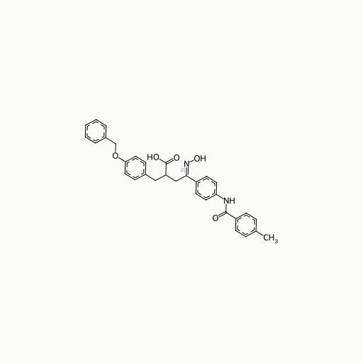 Cc1ccc(C(=O)Nc2ccc(/C(CC(Cc3ccc(OCc4ccccc4)cc3)C(=O)O)=N\O)cc2)cc1